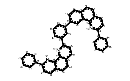 c1ccc(-c2ccc3ccc4ccc(-c5cccc(-c6ccc7ccc8ccc(-c9ccccc9)nc8c7n6)c5)cc4c3n2)cc1